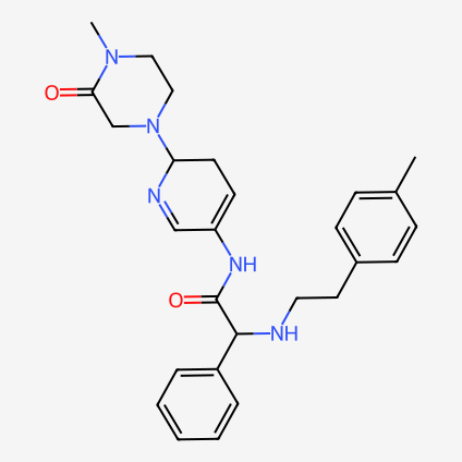 Cc1ccc(CCNC(C(=O)NC2=CCC(N3CCN(C)C(=O)C3)N=C2)c2ccccc2)cc1